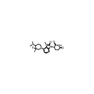 CN(C)C1CCN(c2cccc3c2n(C)c(=O)n3C2CCC(=O)NC2=O)CC1(F)F